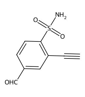 C#Cc1cc(C=O)ccc1S(N)(=O)=O